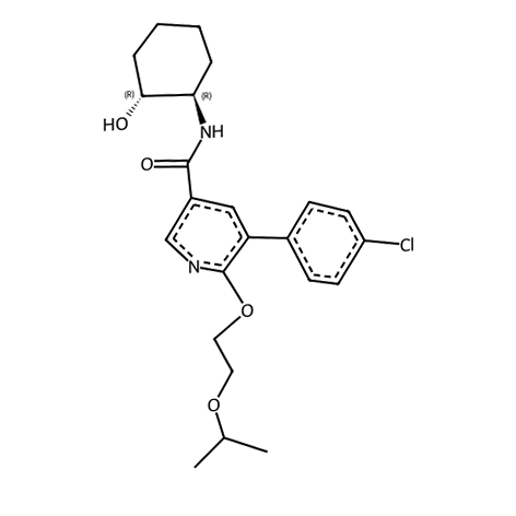 CC(C)OCCOc1ncc(C(=O)N[C@@H]2CCCC[C@H]2O)cc1-c1ccc(Cl)cc1